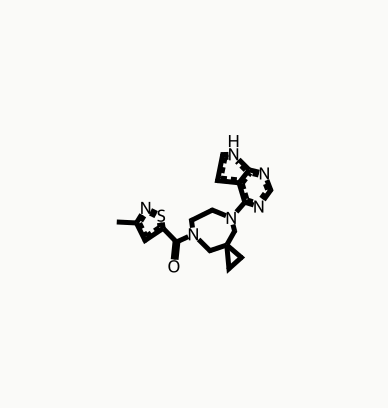 Cc1cc(C(=O)N2CCN(c3ncnc4[nH]ccc34)CC3(CC3)C2)sn1